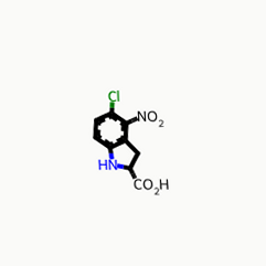 O=C(O)C1Cc2c(ccc(Cl)c2[N+](=O)[O-])N1